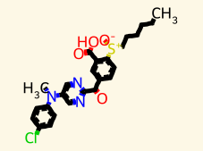 CCCCCC[S+]([O-])c1ccc(C(=O)c2ncc(N(C)c3ccc(Cl)cc3)cn2)cc1C(=O)O